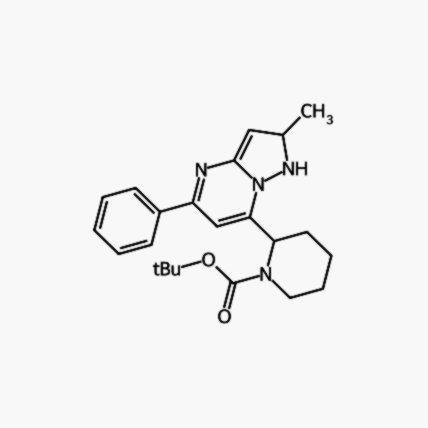 CC1C=C2N=C(c3ccccc3)C=C(C3CCCCN3C(=O)OC(C)(C)C)N2N1